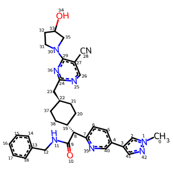 Cn1cc(-c2ccc(C(C(=O)NCc3ccccc3)[C@H]3CC[C@H](Cc4ncc(C#N)c(N5CCC(O)C5)n4)CC3)nc2)cn1